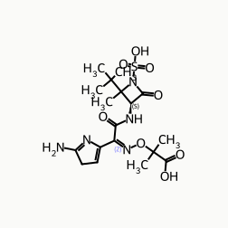 CC(C)(O/N=C(\C(=O)N[C@@H]1C(=O)N(S(=O)(=O)O)C1(C)C(C)(C)C)C1=CCC(N)=N1)C(=O)O